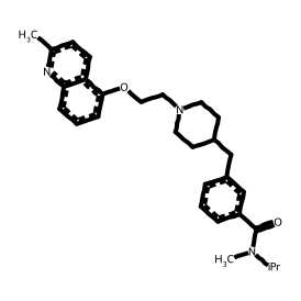 Cc1ccc2c(OCCN3CCC(Cc4cccc(C(=O)N(C)C(C)C)c4)CC3)cccc2n1